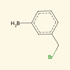 Bc1cccc(CBr)c1